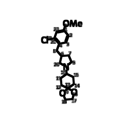 COc1ccc(CC2CCN(C3CCC4(CC3)OCCO4)C2)c(Cl)c1